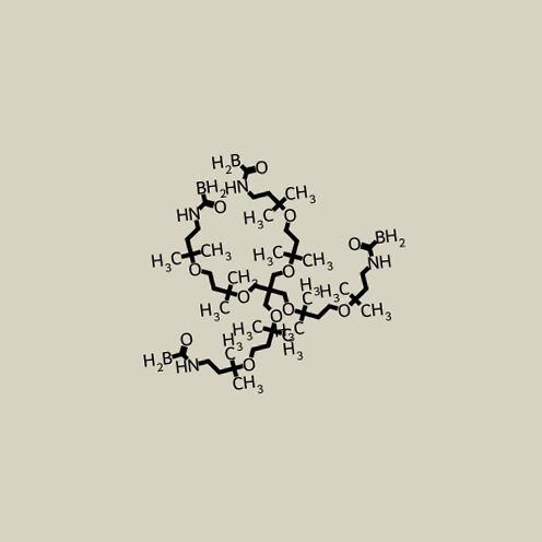 BC(=O)NCCC(C)(C)OCCC(C)(C)OCC(COC(C)(C)CCOC(C)(C)CCNC(B)=O)(COC(C)(C)CCOC(C)(C)CCNC(B)=O)COC(C)(C)CCOC(C)(C)CCNC(B)=O